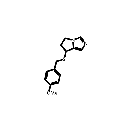 COc1ccc(CSC2CCn3cncc32)cc1